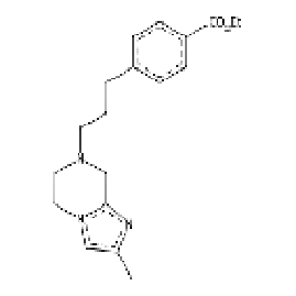 CCOC(=O)c1ccc(CCCN2CCn3cc(C)nc3C2)cc1